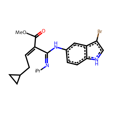 COC(=O)C(=C/CC1CC1)/C(=N\C(C)C)Nc1ccc2[nH]cc(Br)c2c1